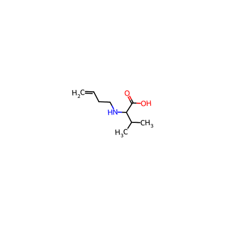 C=CCCNC(C(=O)O)C(C)C